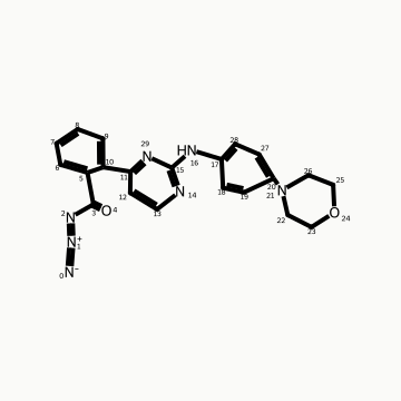 [N-]=[N+]=NC(=O)c1ccccc1-c1ccnc(Nc2ccc(N3CCOCC3)cc2)n1